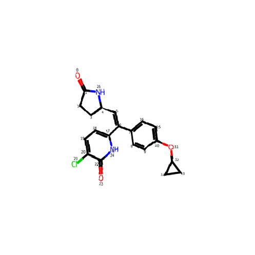 O=C1CC[C@H](/C=C(/c2ccc(OC3CC3)cc2)c2ccc(Cl)c(=O)[nH]2)N1